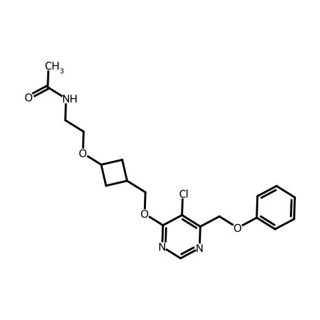 CC(=O)NCCOC1CC(COc2ncnc(COc3ccccc3)c2Cl)C1